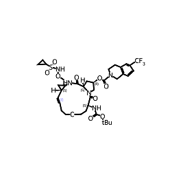 CC(C)(C)OC(=O)N[C@H]1CCCCC/C=C\[C@@H]2C[C@@]2(CONS(=O)(=O)C2CC2)NC(=O)[C@@H]2C[C@@H](OC(=O)N3CCc4cc(C(F)(F)F)ccc4C3)CN2C1=O